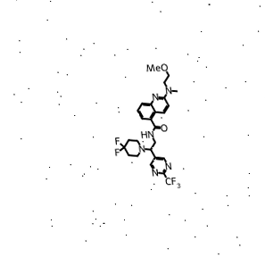 COCCN(C)c1ccc2c(C(=O)NCC(c3cnc(C(F)(F)F)nc3)N3CCC(F)(F)CC3)cccc2n1